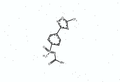 CC(C)(C)C(=O)N=S(C)(=O)c1ccc(-c2noc(C(F)(F)F)n2)cc1